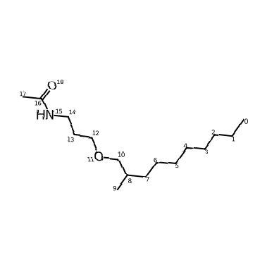 CCCCCCCCC(C)COCCCNC(C)=O